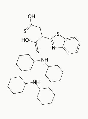 C1CCC(NC2CCCCC2)CC1.C1CCC(NC2CCCCC2)CC1.OC(=S)CC(C(O)=S)c1nc2ccccc2s1